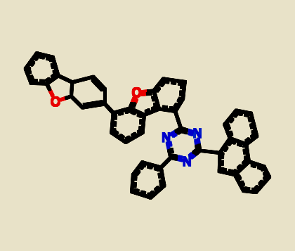 C1=CC2c3ccccc3OC2C=C1c1cccc2c1oc1cccc(-c3nc(-c4ccccc4)nc(-c4cc5ccccc5c5ccccc45)n3)c12